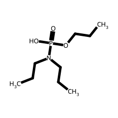 CCCOP(=O)(O)N(CCC)CCC